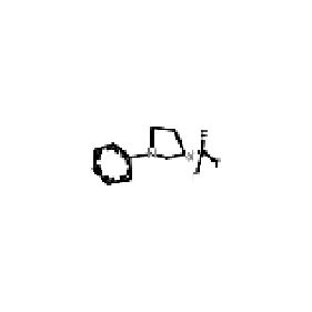 FC(F)(F)[C@H]1CCN(c2cc[c]cc2)C1